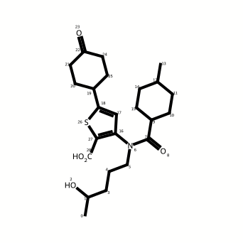 CC(O)CCCN(C(=O)C1CCC(C)CC1)c1cc(C2CCC(=O)CC2)sc1C(=O)O